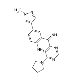 Cn1cc(-c2ccc(N)c(C(=N)c3cc(N4CCCC4)ncn3)c2)cn1